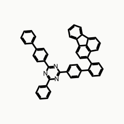 c1ccc(-c2ccc(-c3nc(-c4ccccc4)nc(-c4ccc(-c5ccccc5-c5ccc6c7c(cccc57)-c5ccccc5-6)cc4)n3)cc2)cc1